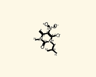 C=C1C([N+](=O)[O-])=C(Cl)N(CC(C)C)C(=O)N1C